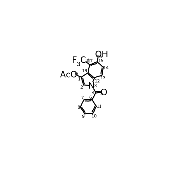 CC(=O)Oc1cn(C(=O)c2ccccc2)c2ccc(O)c(C(F)(F)F)c12